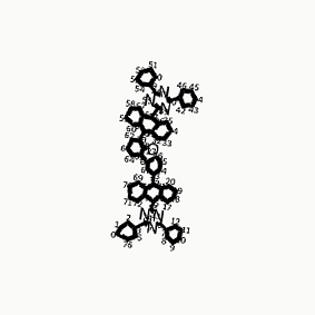 c1ccc(-c2nc(-c3ccccc3)nc(-c3c4ccccc4c(-c4ccc5oc6c(-c7c8ccccc8c(-c8nc(-c9ccccc9)nc(-c9ccccc9)n8)c8ccccc78)cccc6c5c4)c4ccccc34)n2)cc1